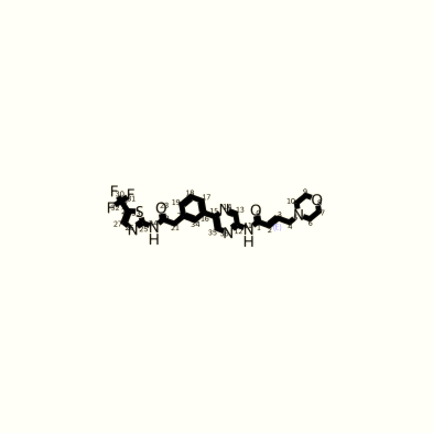 O=C(/C=C/CN1CCOCC1)Nc1cnc(-c2cccc(CC(=O)Nc3ncc(C(F)(F)F)s3)c2)cn1